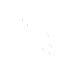 NC(=Nc1cc(CCc2ccc(-c3ccccc3F)cc2)no1)N1CCCC1